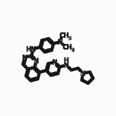 CN(C)c1ccc(Nc2ncc3cccc(-c4ccc(NCCN5CCCC5)nc4)c3n2)cc1